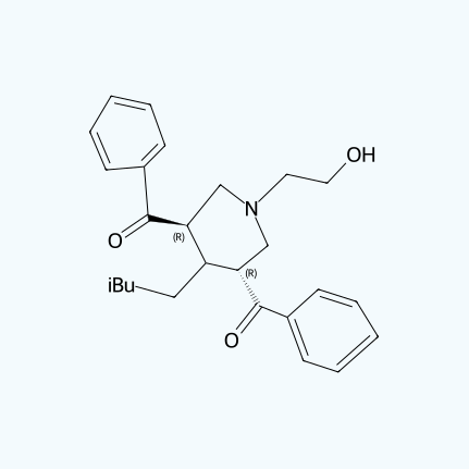 CCC(C)CC1[C@@H](C(=O)c2ccccc2)CN(CCO)C[C@@H]1C(=O)c1ccccc1